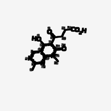 Cc1ncc2c(O)c(C(=O)CCC(=O)O)c(=O)n(C)c2n1